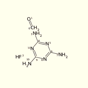 C=O.F.Nc1nc(N)nc(N)n1